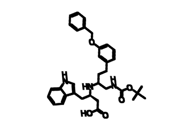 CC(C)(C)OC(=O)NCC(CCc1cccc(OCc2ccccc2)c1)N[C@@H](CC(=O)O)Cc1c[nH]c2ccccc12